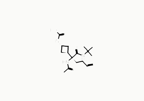 C=CCC[C@](NC(C)=O)(C(=O)NC(C)(C)C)[C@H]1C[C@H](NC(=O)O)C1